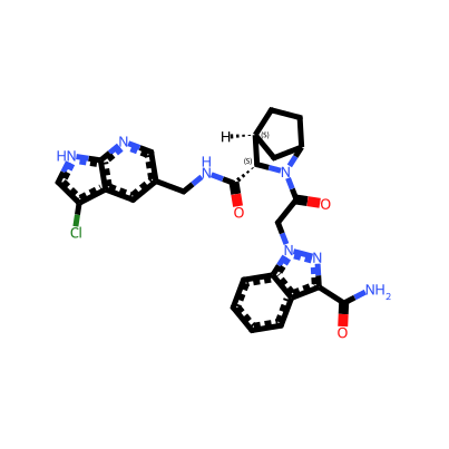 NC(=O)c1nn(CC(=O)N2C3CC[C@@H](C3)[C@H]2C(=O)NCc2cnc3[nH]cc(Cl)c3c2)c2ccccc12